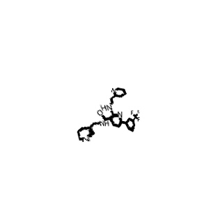 O=C(NCc1cccnc1)c1ccc(-c2cccc(C(F)(F)F)c2)nc1NCCc1ccccn1